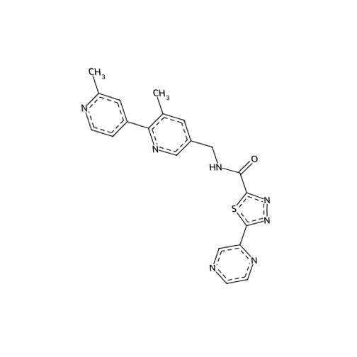 Cc1cc(-c2ncc(CNC(=O)c3nnc(-c4cnccn4)s3)cc2C)ccn1